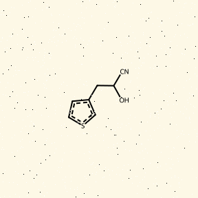 N#CC(O)Cc1ccsc1